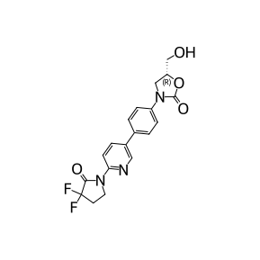 O=C1O[C@@H](CO)CN1c1ccc(-c2ccc(N3CCC(F)(F)C3=O)nc2)cc1